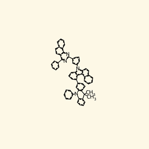 CC1(C)c2ccccc2N(c2ccccc2)c2cc(-c3cccc4c3c3c5ccccc5ccc3n4-c3cccc(-c4nc(-c5ccccc5)c5ccc6ccccc6c5n4)c3)ccc21